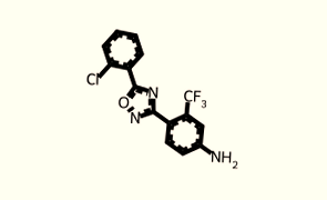 Nc1ccc(-c2noc(-c3ccccc3Cl)n2)c(C(F)(F)F)c1